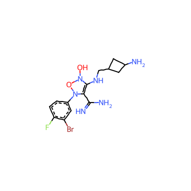 N=C(N)C1=C(NCC2CC(N)C2)N(O)ON1c1ccc(F)c(Br)c1